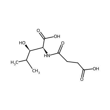 CC(C)[C@@H](O)[C@H](NC(=O)CCC(=O)O)C(=O)O